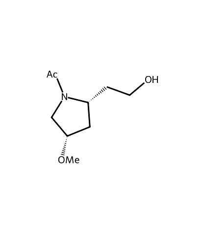 CO[C@H]1C[C@@H](CCO)N(C(C)=O)C1